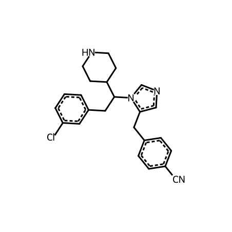 N#Cc1ccc(Cc2cncn2C(Cc2cccc(Cl)c2)C2CCNCC2)cc1